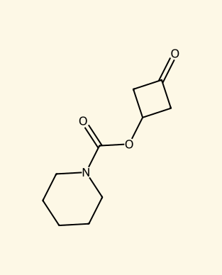 O=C1CC(OC(=O)N2CCCCC2)C1